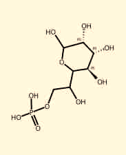 O=P(O)(O)OCC(O)C1OC(O)[C@H](O)[C@H](O)[C@H]1O